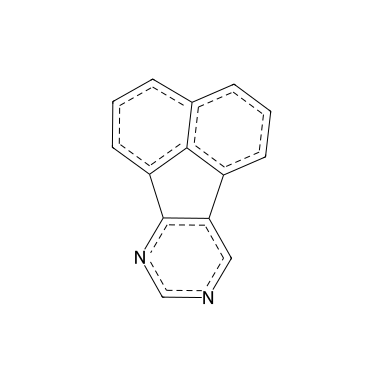 c1cc2c3c(cccc3c1)-c1ncncc1-2